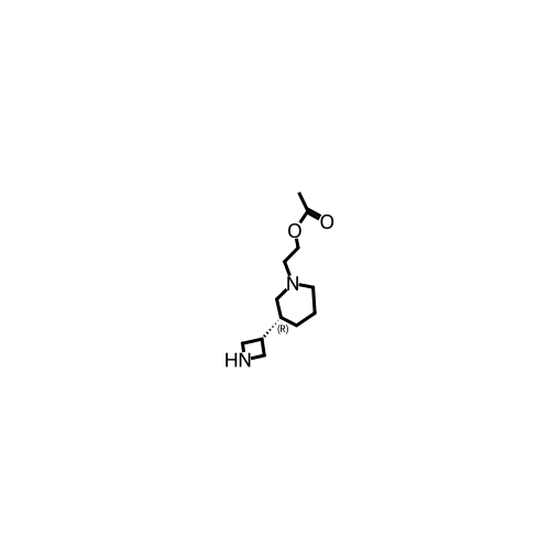 CC(=O)OCCN1CCC[C@H](C2CNC2)C1